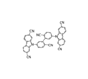 N#Cc1ccc2c3ccc(C#N)cc3n(-c3ccc(C#N)c(-c4cc(-n5c6cc(C#N)ccc6c6ccc(C#N)cc65)ccc4C#N)c3)c2c1